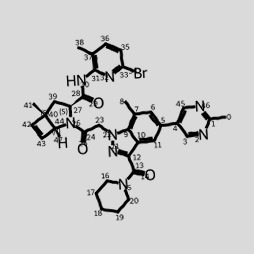 Cc1ncc(-c2cc(C)c3c(c2)c(C(=O)N2CCCCC2)nn3CC(=O)N2[C@H](C(=O)Nc3nc(Br)ccc3C)C[C@@]3(C)C=C[C@@H]23)cn1